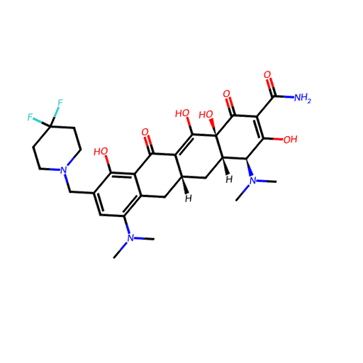 CN(C)c1cc(CN2CCC(F)(F)CC2)c(O)c2c1C[C@H]1C[C@H]3[C@H](N(C)C)C(O)=C(C(N)=O)C(=O)[C@@]3(O)C(O)=C1C2=O